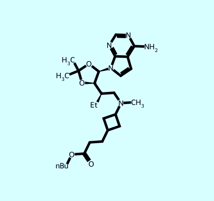 CCCCOC(=O)CCC1CC(N(C)C[C@@H](CC)[C@H]2OC(C)(C)O[C@H]2n2ccc3c(N)ncnc32)C1